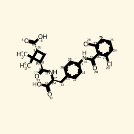 CC1(C)[C@H](C(=O)O)C[C@H]1C(=O)N[C@@H](Cc1ccc(NC(=O)c2c(Cl)cccc2Cl)cc1)C(=O)O